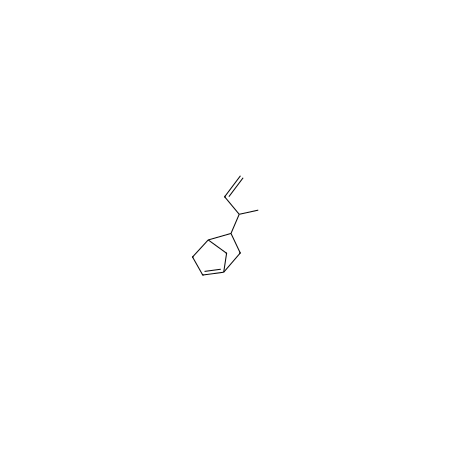 C=CC(C)C1CC2=CCC1C2